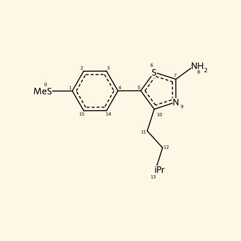 CSc1ccc(-c2sc(N)nc2CCC(C)C)cc1